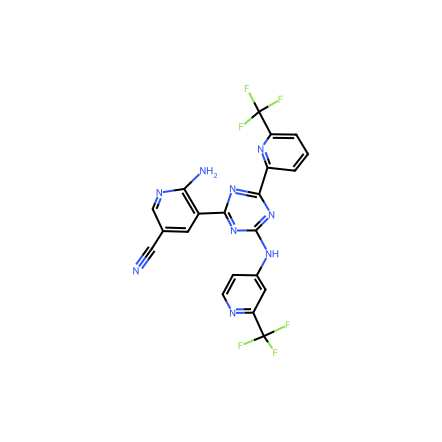 N#Cc1cnc(N)c(-c2nc(Nc3ccnc(C(F)(F)F)c3)nc(-c3cccc(C(F)(F)F)n3)n2)c1